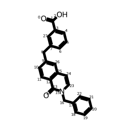 O=C(O)c1cccc(Cc2ccc3c(=O)n(Cc4ccccc4)ccc3c2)c1